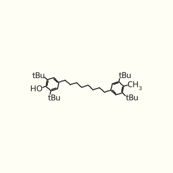 Cc1c(C(C)(C)C)cc(CCCCCCCCc2cc(C(C)(C)C)c(O)c(C(C)(C)C)c2)cc1C(C)(C)C